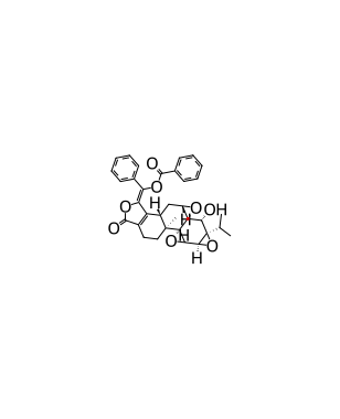 CC(C)[C@]12O[C@H]1[C@@H]1O[C@]13[C@]1(O[C@H]1C[C@H]1C4=C(CC[C@@]13C)C(=O)O/C4=C(/OC(=O)c1ccccc1)c1ccccc1)[C@@H]2O